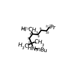 CCCCNC(C)(C)CC(C)CCCC(C)C.I